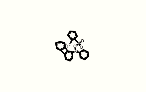 O=S(=O)(O[S+](c1ccccc1)c1cccc2c1-c1ccccc1-2)c1ccccc1C(F)(F)F